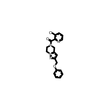 O=C(c1ncccc1Cl)N1CCn2nc(COc3ccccc3)cc2C1